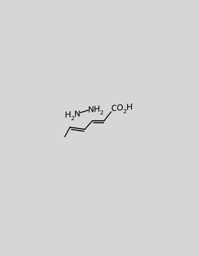 CC=CC=CC(=O)O.NN